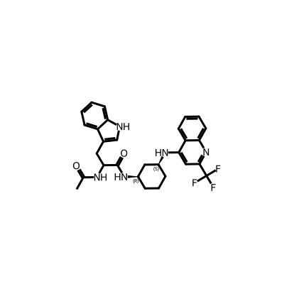 CC(=O)NC(Cc1c[nH]c2ccccc12)C(=O)N[C@@H]1CCC[C@H](Nc2cc(C(F)(F)F)nc3ccccc23)C1